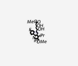 COCc1c(C(C)C)nc(-c2ccc(F)cc2)c(/C=C/C(O)CC(O)CC(=O)OC)c1C(C)C